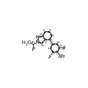 CC(C)c1c(F)cc(-c2cccc3nn(C(C)F)cc23)cc1F